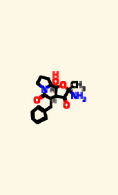 C[C@@]1(N)O[C@]2(O)C(C1=O)[C@@H](Cc1ccccc1)C(=O)N1CCCC12